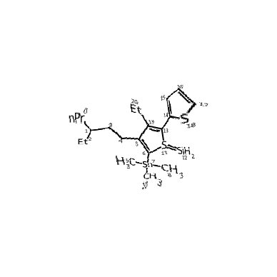 CCCC(CC)CCC1=[C]([Sn]([CH3])([CH3])[CH3])S(=[SiH2])C(c2cccs2)=C1CC